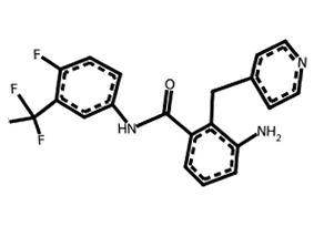 Nc1cccc(C(=O)Nc2ccc(F)c(C(F)(F)F)c2)c1Cc1ccncc1